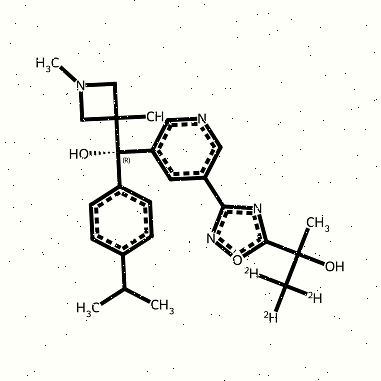 [2H]C([2H])([2H])C(C)(O)c1nc(-c2cncc([C@@](O)(c3ccc(C(C)C)cc3)C3(C)CN(C)C3)c2)no1